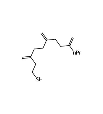 C=C(CCC)CCC(=C)CCC(=C)CCS